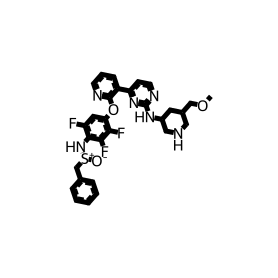 COCC1CNCC(Nc2nccc(-c3cccnc3Oc3cc(F)c(N[S+]([O-])Cc4ccccc4)c(F)c3F)n2)C1